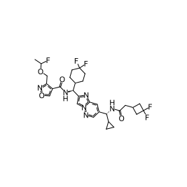 CC(F)OCc1nocc1C(=O)N[C@H](c1cn2ncc([C@H](NC(=O)CC3CC(F)(F)C3)C3CC3)cc2n1)C1CCC(F)(F)CC1